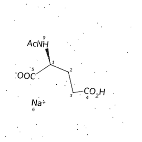 CC(=O)N[C@@H](CCC(=O)O)C(=O)[O-].[Na+]